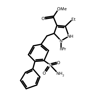 CCCN1NC(CC)=C(C(=O)OC)C1Cc1ccc(-c2ccccc2)c(S(N)(=O)=O)c1